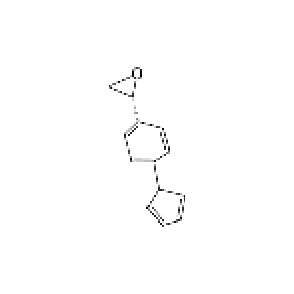 C1=CC(c2ccc([C@@H]3CO3)cc2)C=C1